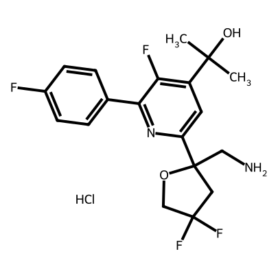 CC(C)(O)c1cc(C2(CN)CC(F)(F)CO2)nc(-c2ccc(F)cc2)c1F.Cl